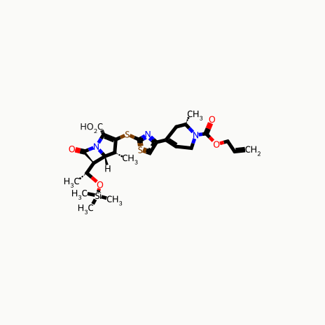 C=CCOC(=O)N1CC=C(c2csc(SC3=C(C(=O)O)N4C(=O)[C@H]([C@@H](C)O[Si](C)(C)C)[C@H]4[C@H]3C)n2)C[C@@H]1C